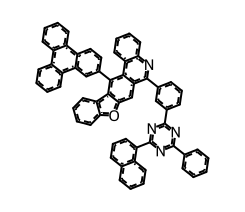 c1ccc(-c2nc(-c3cccc(-c4nc5ccccc5c5c(-c6ccc7c8ccccc8c8ccccc8c7c6)c6c(cc45)oc4ccccc46)c3)nc(-c3cccc4ccccc34)n2)cc1